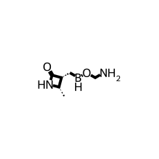 C[C@@H]1NC(=O)[C@@H]1CBOCN